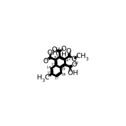 COC(=O)c1c(C(=O)O)c(C(=O)O)c2cc(C)ccc2c1C(=O)O